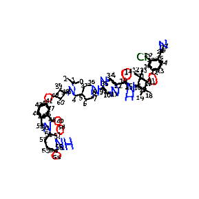 CC(C)N(CC1CCN(c2cnc(C(=O)NC3C(C)(C)C(Oc4ccc(C#N)c(Cl)c4)C3(C)C)cn2)CC1)C1CC(Oc2ccc3c(c2)C(=O)N([C@@H]2CCC(=O)NC2=O)C3)C1